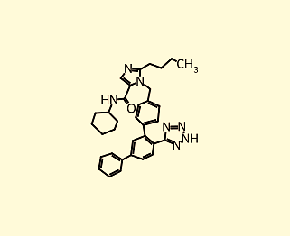 CCCCc1ncc(C(=O)NC2CCCCC2)n1Cc1ccc(-c2cc(-c3ccccc3)ccc2-c2nn[nH]n2)cc1